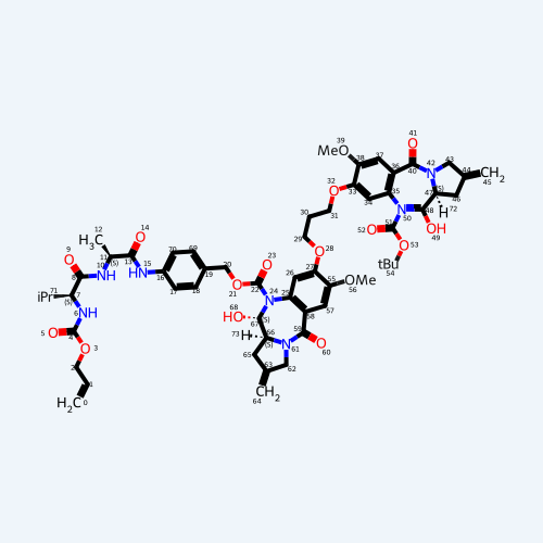 C=CCOC(=O)N[C@H](C(=O)N[C@@H](C)C(=O)Nc1ccc(COC(=O)N2c3cc(OCCCOc4cc5c(cc4OC)C(=O)N4CC(=C)C[C@H]4C(O)=[N+]5C(=O)OC(C)(C)C)c(OC)cc3C(=O)N3CC(=C)C[C@H]3[C@@H]2O)cc1)C(C)C